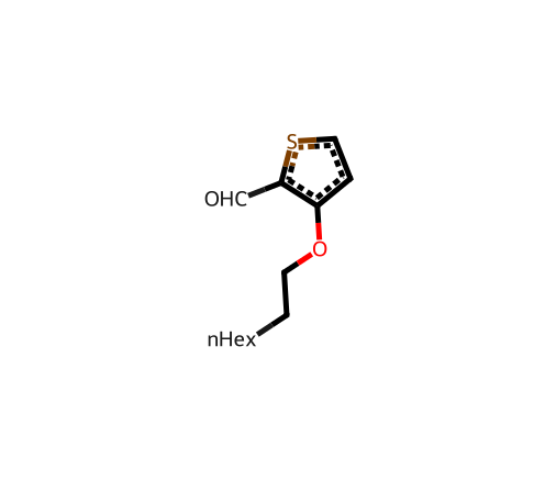 CCCCCCCCOc1ccsc1C=O